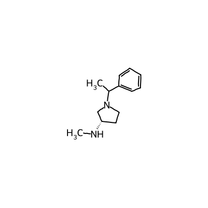 CN[C@H]1CCN(C(C)c2ccccc2)C1